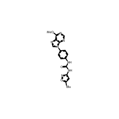 COc1ncnc2c1ncn2-c1ccc(NC(=O)Nc2cc(C(C)(C)C)on2)cc1